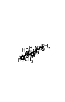 Cc1cc(F)ccc1-c1cnc(-c2cccc(NC(=O)[C@@H](N)CCC(N)=O)c2)o1.Cl